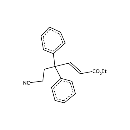 CCOC(=O)/C=C/C(CCC#N)(c1ccccc1)c1ccccc1